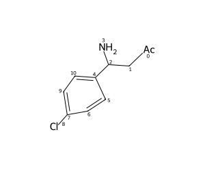 CC(=O)CC(N)c1ccc(Cl)cc1